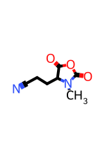 CN1C(=O)OC(=O)C1CCC#N